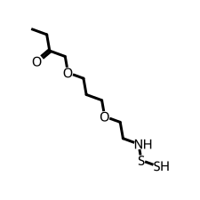 CCC(=O)COCCCOCCNSS